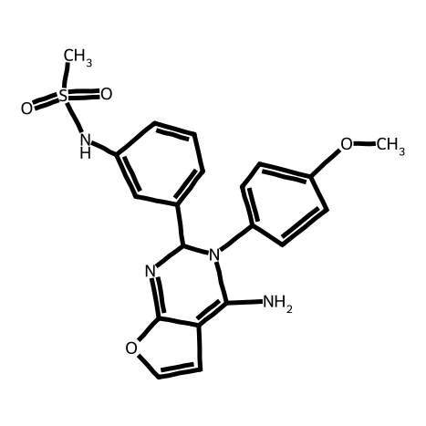 COc1ccc(N2C(N)=c3ccoc3=NC2c2cccc(NS(C)(=O)=O)c2)cc1